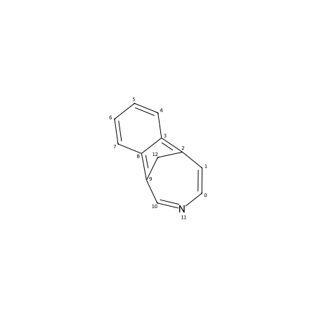 C1=CC2=c3ccccc3=C(C=N1)C2